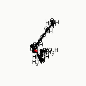 CCCN(CC[C@H](N)C(=O)O)C[C@H]1O[C@@H](n2c(NCCCCNC(=O)c3ccc(C(=O)NCCCOCCOCCOCCCNC(=O)CCCC[C@@H]4SC[C@@H]5NC(=O)N[C@@H]54)cc3P(=O)(c3ccccc3)c3ccccc3)nc3c(N)nncc32)C(O)[C@H]1O